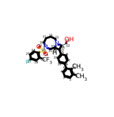 Cc1cccc(-c2ccc(C3[C@@H](CO)N4CCCCN(S(=O)(=O)c5ccc(F)cc5C(F)(F)F)C[C@@H]34)cc2)c1C